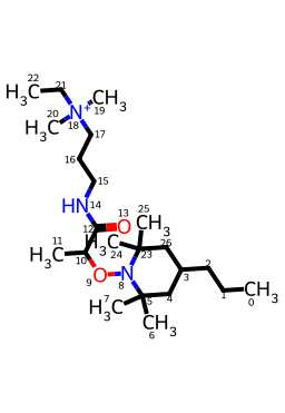 CCCC1CC(C)(C)N(OC(C)C(=O)NCCC[N+](C)(C)CC)C(C)(C)C1